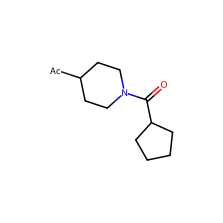 CC(=O)C1CCN(C(=O)C2CCCC2)CC1